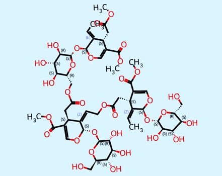 C/C=C1\[C@H](O[C@@H]2O[C@H](CO)[C@@H](O)[C@H](O)[C@H]2O)OC=C(C(=O)OC)[C@H]1CC(=O)OC/C=C1\[C@H](O[C@@H]2O[C@H](CO)[C@@H](O)[C@H](O)[C@H]2O)OC=C(C(=O)OC)[C@H]1CC(=O)OC[C@H]1O[C@@H](O[C@@H]2OC=C(C(=O)OC)[C@@H](CC(=O)OC)/C2=C\C)[C@H](O)[C@@H](O)[C@@H]1O